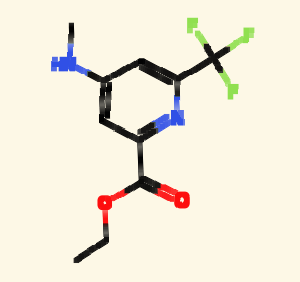 CCOC(=O)c1cc(NC)cc(C(F)(F)F)n1